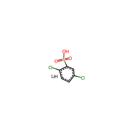 O=S(=O)(O)c1cc(Cl)ccc1Cl.[LiH]